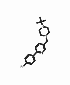 CC(C)(C)N1CCN(Cc2ccc(-c3ccc(Br)cc3)nc2)CC1